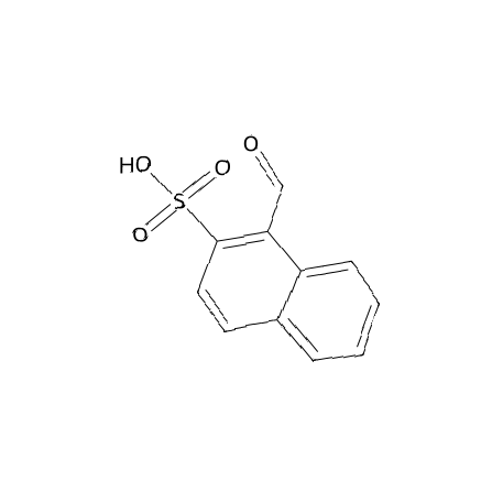 O=Cc1c(S(=O)(=O)O)ccc2ccccc12